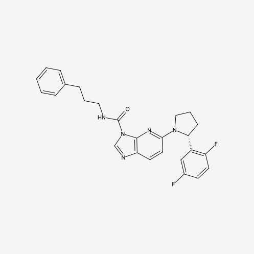 O=C(NCCCc1ccccc1)n1cnc2ccc(N3CCC[C@@H]3c3cc(F)ccc3F)nc21